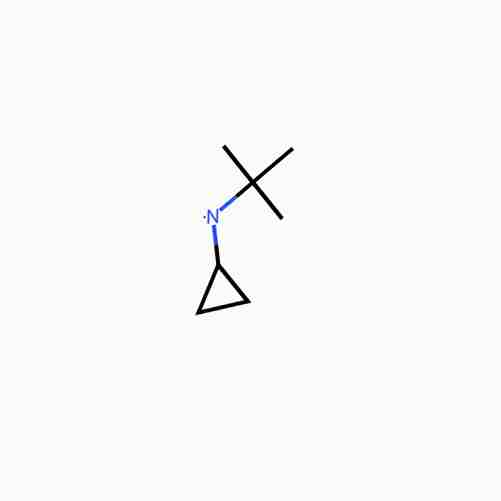 CC(C)(C)[N]C1CC1